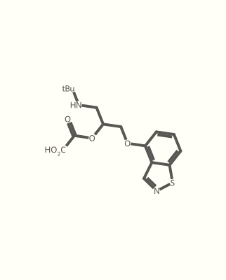 CC(C)(C)NCC(COc1cccc2sncc12)OC(=O)C(=O)O